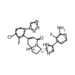 Nc1nccc(-c2cnc([C@@H]3CC[C@@H]4CC(c5c(-n6cnnn6)ccc(Cl)c5F)=CC(=O)N43)[nH]2)c1F